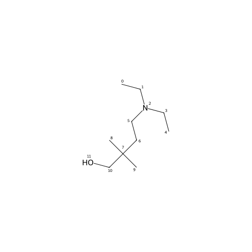 CCN(CC)CCC(C)(C)CO